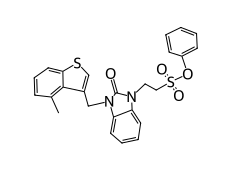 Cc1cccc2scc(Cn3c(=O)n(CCS(=O)(=O)Oc4ccccc4)c4ccccc43)c12